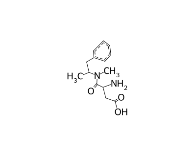 CC(Cc1ccccc1)N(C)C(=O)C(N)CC(=O)O